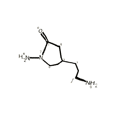 NCCC1CC(=O)N(N)C1